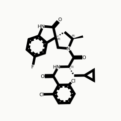 C[C@@H]1C[C@@]2(CN1C(=O)[C@H](CC1CC1)NC(=O)c1c(Cl)cccc1Cl)C(=O)Nc1ccc(F)cc12